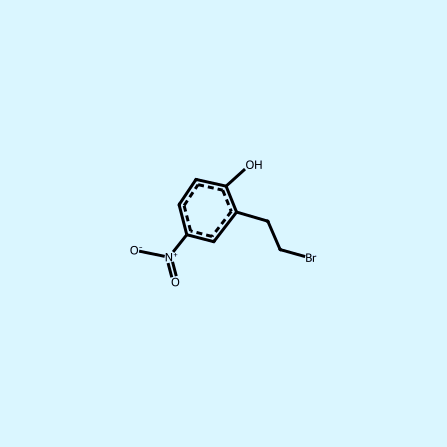 O=[N+]([O-])c1ccc(O)c(CCBr)c1